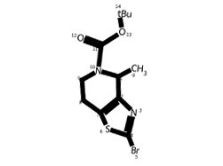 CC1c2nc(Br)sc2CCN1C(=O)OC(C)(C)C